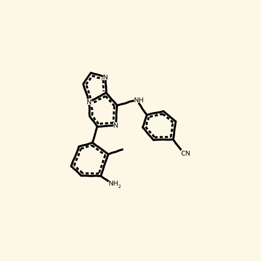 Cc1c(N)cccc1-c1cn2ccnc2c(Nc2ccc(C#N)cc2)n1